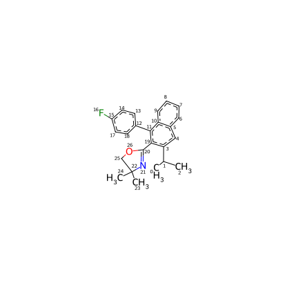 CC(C)c1cc2ccccc2c(-c2ccc(F)cc2)c1C1=NC(C)(C)CO1